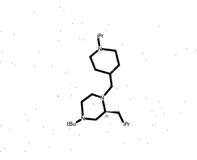 CC(C)C[C@H]1CN(C(C)(C)C)CCN1CC1CCN(C(C)C)CC1